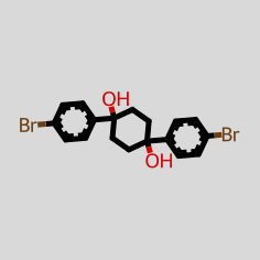 OC1(c2ccc(Br)cc2)CCC(O)(c2ccc(Br)cc2)CC1